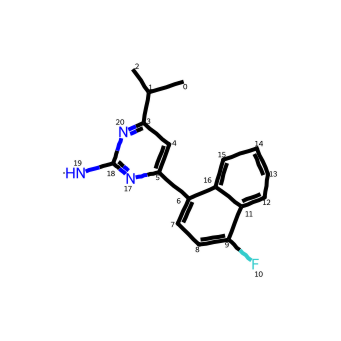 CC(C)c1cc(-c2ccc(F)c3ccccc23)nc([NH])n1